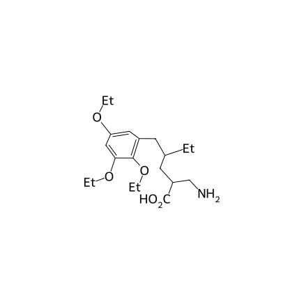 CCOc1cc(CC(CC)CC(CN)C(=O)O)c(OCC)c(OCC)c1